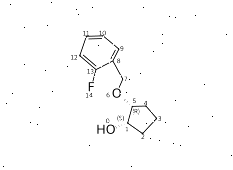 O[C@H]1CCC[C@H]1OCc1ccccc1F